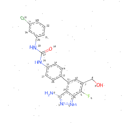 Nc1n[nH]c2c(F)c(CO)cc(-c3ccc(NC(=O)Nc4cccc(Cl)c4)cc3)c12